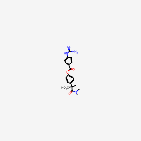 CN(C)C(=O)C(C)(C(=O)O)c1ccc(OC(=O)c2ccc(NC(=N)N)cc2)cc1